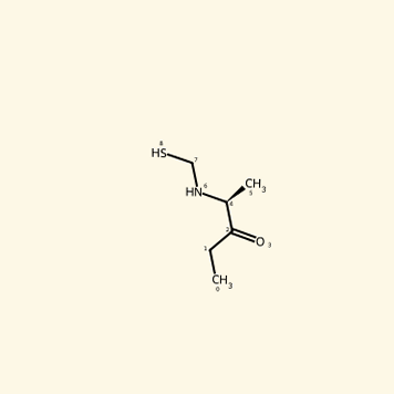 CCC(=O)[C@H](C)NCS